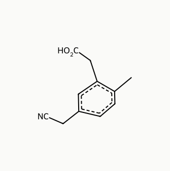 Cc1ccc(CC#N)cc1CC(=O)O